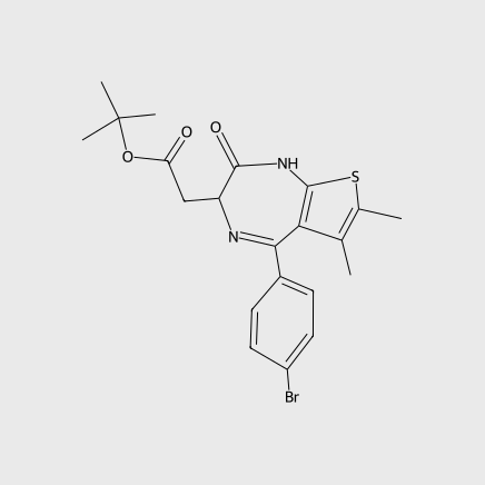 Cc1sc2c(c1C)C(c1ccc(Br)cc1)=NC(CC(=O)OC(C)(C)C)C(=O)N2